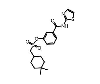 CC1(C)CCC(CS(=O)(=O)Oc2cccc(C(=O)Nc3nccs3)c2)CC1